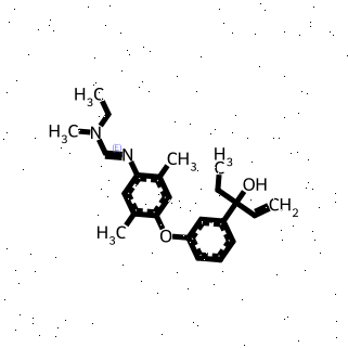 C=CC(O)(CC)c1cccc(Oc2cc(C)c(/N=C/N(C)CC)cc2C)c1